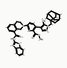 CC(C)(C)OC(=O)c1nc(N2CCc3cccc(C(=O)Nc4nc5ccccc5s4)c3C2)ccc1-c1cnn(CC23CC4CC(CC(C4)C2)C3)c1C#N